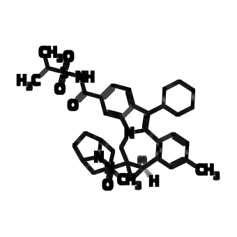 Cc1ccc2c(c1)[C@H]1CC1(C(=O)N1C3CCC1CN(C)C3)Cn1c-2c(C2CCCCC2)c2ccc(C(=O)NS(=O)(=O)C(C)C)cc21